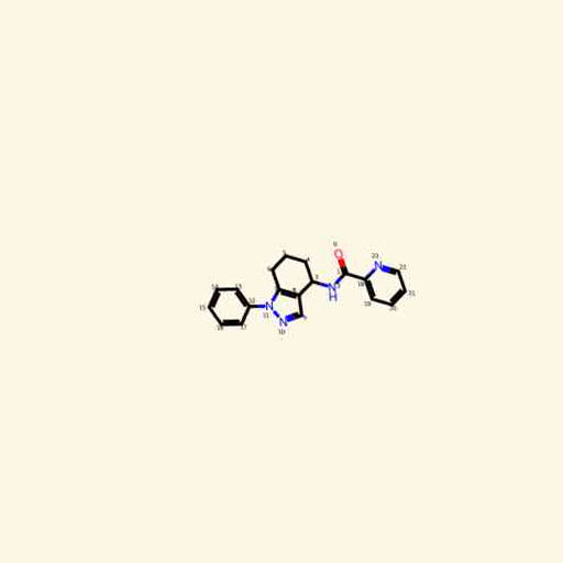 O=C(NC1CCCc2c1cnn2-c1ccccc1)c1ccccn1